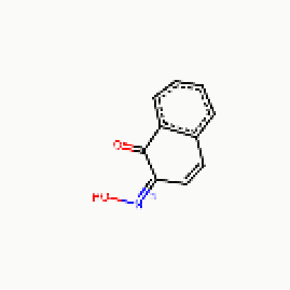 O=C1/C(=N\O)C=Cc2ccccc21